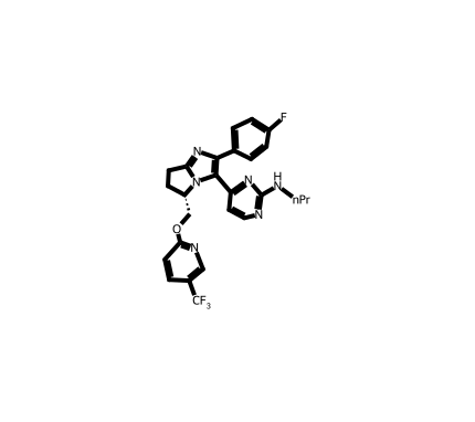 CCCNc1nccc(-c2c(-c3ccc(F)cc3)nc3n2[C@H](COc2ccc(C(F)(F)F)cn2)CC3)n1